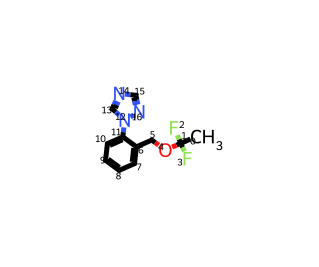 CC(F)(F)OCc1ccccc1-n1cncn1